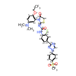 CN(C)c1ccc(OCC(F)(F)F)c(N2C(=O)CS/C2=N\C(=O)Nc2ccc(-c3ncn(-c4ccc(S(=O)(=O)C(F)(F)F)cc4)n3)cc2F)c1